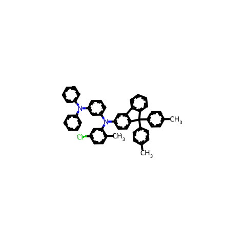 Cc1ccc(C2(c3ccc(C)cc3)c3ccccc3-c3cc(N(c4cccc(N(c5ccccc5)c5ccccc5)c4)c4cc(Cl)ccc4C)ccc32)cc1